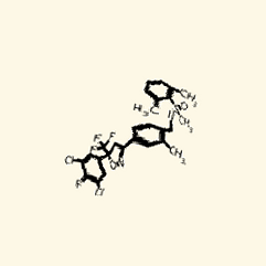 Cc1cc(C2=NOC(c3cc(Cl)c(F)c(Cl)c3)(C(F)(F)F)C2)ccc1CN=S(C)(=O)c1c(C)cccc1C